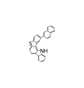 c1ccc2cc(-c3ccc4sc5ccc6c7ccccc7[nH]c6c5c4c3)ccc2c1